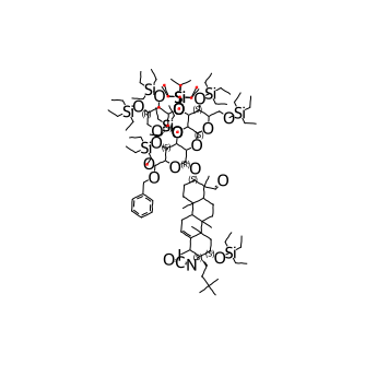 CC[Si](CC)(CC)OCC1O[C@@H](OC2C(O[C@@H]3OC[C@@H](O[Si](CC)(CC)CC)C(O[Si](CC)(CC)CC)C3O[Si](CC)(CC)CC)[C@H](O[Si](CC)(CC)CC)C(C(=O)OCc3ccccc3)O[C@H]2O[C@H]2CCC3(C)C(CCC4(C)C3CC=C3C(I)[C@@](CCC(C)(C)C)(N=C=O)[C@@H](O[Si](CC)(CC)CC)CC34C)C2(C)C=O)C(O[Si](CC)(CC)CC)C(O[Si](CC)(CC)CC)[C@H]1O[Si](CC)(CC)CC